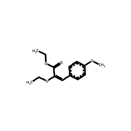 CCOC(=O)/C(=C\c1ccc(OC)cc1)OCC